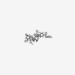 CCCCOC(=O)c1ccc([C@H](C)NC(=O)c2c(C(F)F)nn(C)c2Oc2cc(F)cc(CC)c2)cc1